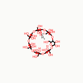 CBCC1OC2OC3C(CO)OC(OC4C(CO)OC(OC5C(CO)OC(OC6C(CO)OC(OC7C(CO)OC(OC8C(CO)OC(OC1C(O)C2O)C(O)C8O)C(O)C7O)C(O)C6O)C(O)C5O)C(O)C4O)C(O)C3O